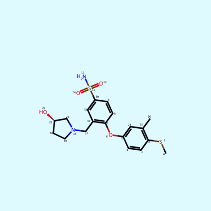 CSc1ccc(Oc2ccc(S(N)(=O)=O)cc2CN2CC[C@@H](O)C2)cc1C